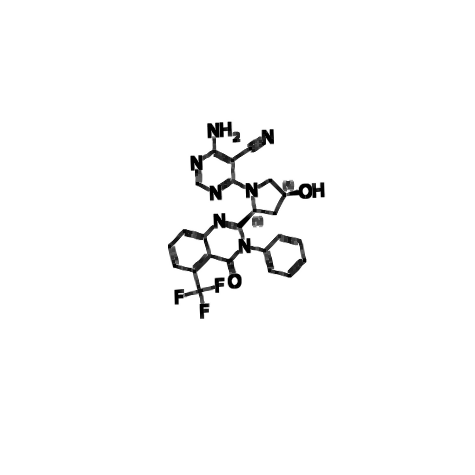 N#Cc1c(N)ncnc1N1C[C@@H](O)C[C@H]1c1nc2cccc(C(F)(F)F)c2c(=O)n1-c1ccccc1